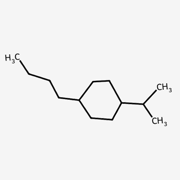 CCCCC1CCC(C(C)C)CC1